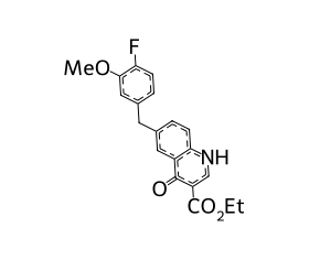 CCOC(=O)c1c[nH]c2ccc(Cc3ccc(F)c(OC)c3)cc2c1=O